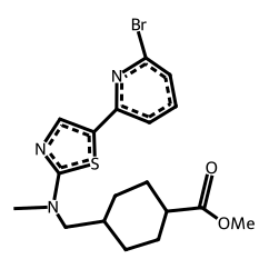 COC(=O)C1CCC(CN(C)c2ncc(-c3cccc(Br)n3)s2)CC1